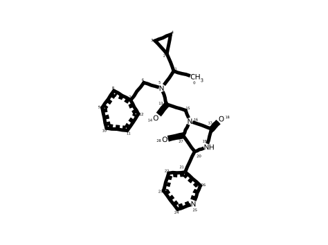 CC(C1CC1)N(Cc1ccccc1)C(=O)CN1C(=O)NC(c2cccnc2)C1=O